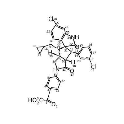 O=C(O)C(=O)c1ccc(N2C[C@H]3[C@@H](C2=O)[C@H](c2cccc(Cl)c2)[C@]2(C(=O)Nc4cc(Cl)ccc42)N3CC2CC2)cc1